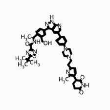 Cc1nc(CCN2CCN(c3ccc(-c4cnc5[nH]nc(-c6ccc([C@@H](C)NC(=O)c7noc(C(C)(C)C)n7)c(CO)c6)c5c4)cc3)CC2)ccc1C1CCC(=O)NC1=O